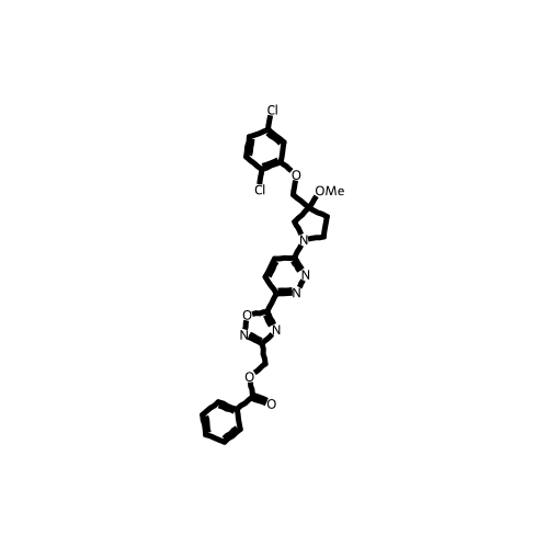 COC1(COc2cc(Cl)ccc2Cl)CCN(c2ccc(-c3nc(COC(=O)c4ccccc4)no3)nn2)C1